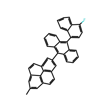 Cc1cc2ccc3cc(-c4c5ccccc5c(-c5ccc(F)c6ccccc56)c5ccccc45)cc4ccc(c1)c2c34